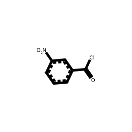 O=C(Cl)c1cc[c]c([N+](=O)[O-])c1